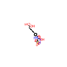 COC1(C(NC(=O)c2ccc(C#CC#CC[C@@H](O)CO)cc2)C(=O)NO)CS(=O)(=O)C1